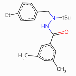 CCc1ccc(CN(NC(=O)c2cc(C)cc(C)c2)C(C)(C)C)cc1